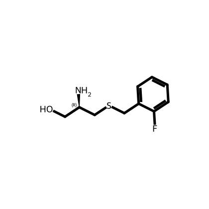 N[C@H](CO)CSCc1ccccc1F